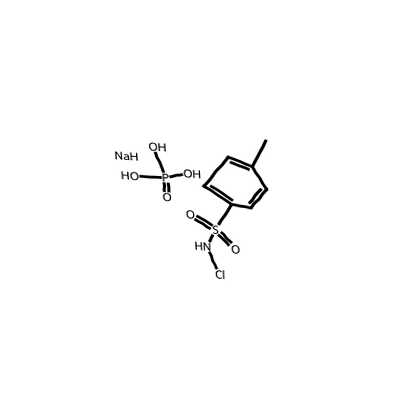 Cc1ccc(S(=O)(=O)NCl)cc1.O=P(O)(O)O.[NaH]